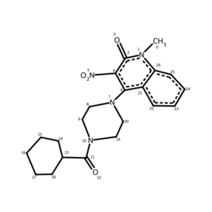 Cn1c(=O)c([N+](=O)[O-])c(N2CCN(C(=O)C3CCCCC3)CC2)c2ccccc21